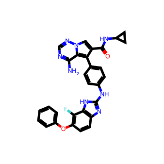 Nc1ncnn2cc(C(=O)NC3CC3)c(-c3ccc(Nc4nc5ccc(Oc6ccccc6)c(F)c5[nH]4)cc3)c12